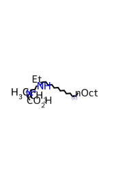 CCCCCCCC/C=C\CCCCCCCCCC(CC)NCCC[N+](C)(C)CC(=O)O